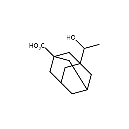 CC(O)C12CC3CC(CC(C(=O)O)(C3)C1)C2